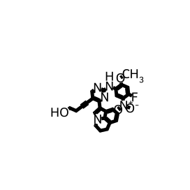 COc1cc(F)c([N+](=O)[O-])cc1Nc1ncc(C#CCCO)c(-c2cn3c4c(cccc24)CCC3)n1